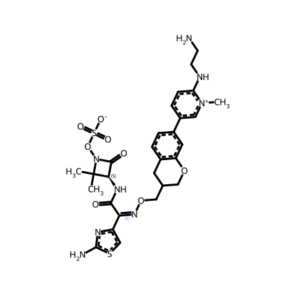 C[n+]1cc(-c2ccc3c(c2)OCC(CO/N=C(\C(=O)N[C@@H]2C(=O)N(OS(=O)(=O)[O-])C2(C)C)c2csc(N)n2)C3)ccc1NCCN